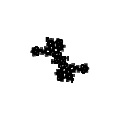 O=C(OC(C(=O)N(Cc1ccc(F)cc1)C1CCN(CCC2OCCCO2)CC1)c1ccc2c(c1)CCO2)C(O)C(O)C(=O)OC(C(=O)N(Cc1ccc(F)cc1)C1CCN(CCC2OCCCO2)CC1)c1ccc2c(c1)CCO2